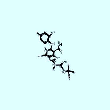 Cc1ccc(Nc2c(C(=O)O)c3nc(N(C)C(=O)OC(C)(C)C)sc3c(=O)n2C)c(F)c1